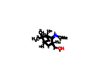 CON=C1[C@@H](CO)C[C@H]2C[C@@H]1C2(C)C